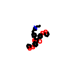 CCCN1CC(Cc2ccc(C3Oc4cc(OC5CCCCO5)ccc4C(=O)C3c3ccc(OC4CCCCO4)cc3)cc2)C1